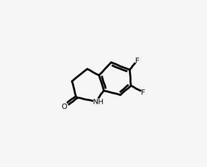 O=C1CCc2cc(F)c(F)cc2N1